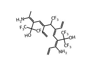 C=C/C(N)=C(\C=C(/C=C)C(/C(C=C)=C/C(=C(\C)N)C(O)(C(F)(F)F)C(F)(F)F)C(F)(F)F)C(O)(C(F)(F)F)C(F)(F)F